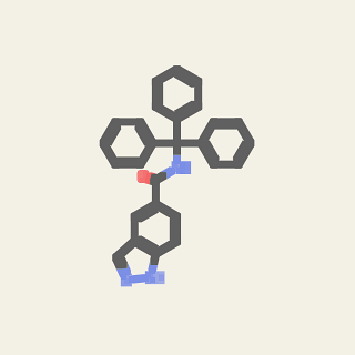 O=C(NC(c1ccccc1)(c1ccccc1)c1ccccc1)c1ccc2[nH]ncc2c1